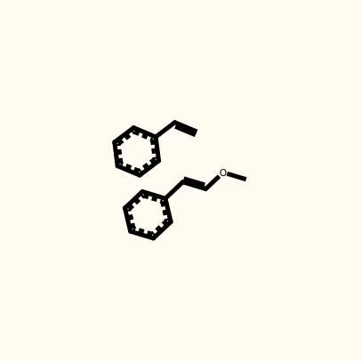 C=Cc1ccccc1.COC=Cc1ccccc1